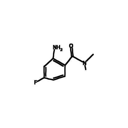 CN(C)C(=O)c1ccc(F)cc1N